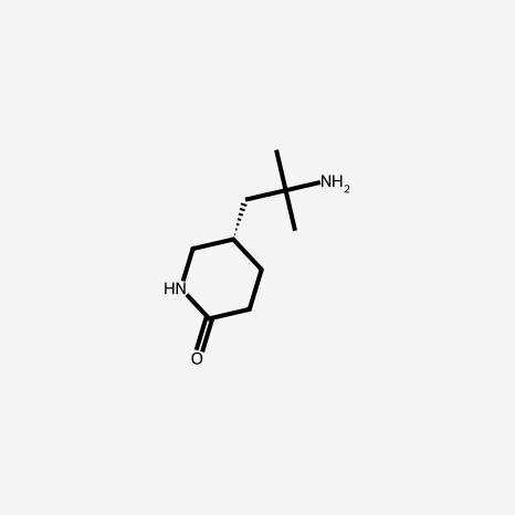 CC(C)(N)C[C@@H]1CCC(=O)NC1